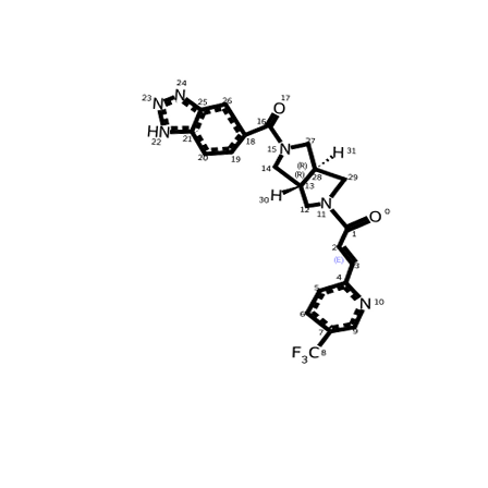 O=C(/C=C/c1ccc(C(F)(F)F)cn1)N1C[C@@H]2CN(C(=O)c3ccc4[nH]nnc4c3)C[C@H]2C1